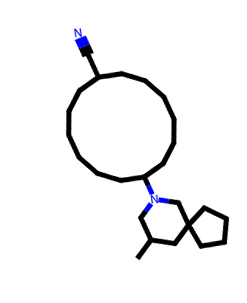 CC1CN(C2CCCCCCC(C#N)CCCCCC2)CC2(CCCC2)C1